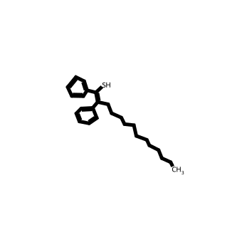 CCCCCCCCCCCCC(=C(S)c1ccccc1)c1ccccc1